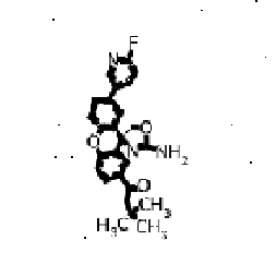 CC(C)(C)CC(=O)c1ccc2c(c1)[C@@]1(COC(N)=N1)c1cc(-c3ccc(F)nc3)ccc1O2